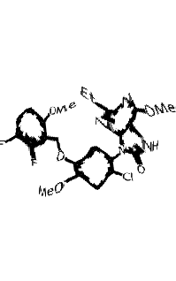 CCc1nc(OC)c2[nH]c(=O)n(-c3cc(OCc4c(OC)ccc(F)c4F)c(OC)cc3Cl)c2n1